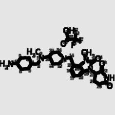 CN(CC1CCC(N)CC1)C1CCN(Cc2cccc3c2n(C)c(=O)n3C2CCC(=O)NC2=O)CC1.O=C(O)C(F)(F)F